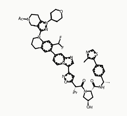 CC(=O)N1CCc2c(c(N3CCCc4cc(-c5ccn6c(-c7cc([C@H](C(=O)N8C[C@H](O)C[C@H]8C(=O)N[C@@H](C)c8ccc(-c9scnc9C)cc8)C(C)C)on7)cnc6c5)c(C(F)F)cc43)nn2C2CCOCC2)C1